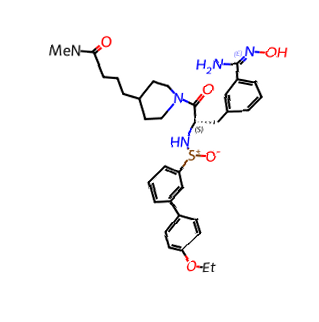 CCOc1ccc(-c2cccc([S+]([O-])N[C@@H](Cc3cccc(/C(N)=N\O)c3)C(=O)N3CCC(CCCC(=O)NC)CC3)c2)cc1